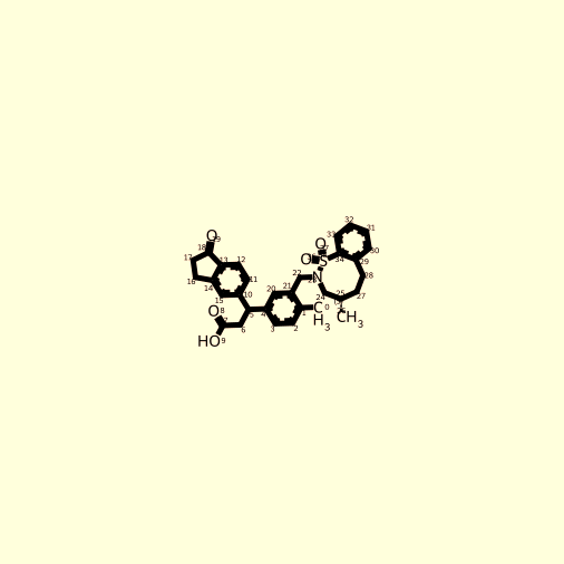 Cc1ccc(C(CC(=O)O)c2ccc3c(c2)CCC3=O)cc1CN1C[C@@H](C)CCc2ccccc2S1(=O)=O